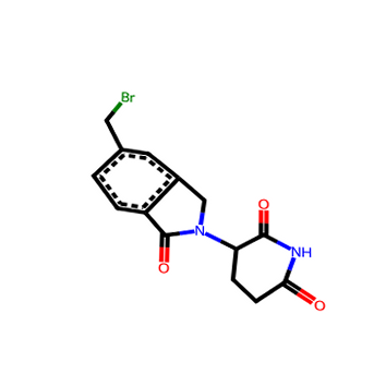 O=C1CCC(N2Cc3cc(CBr)ccc3C2=O)C(=O)N1